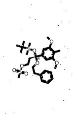 COc1cc([C@](CCOS(C)(=O)=O)(OCCc2ccccc2)O[Si](C)(C)C(C)(C)C)cc(OC)c1C